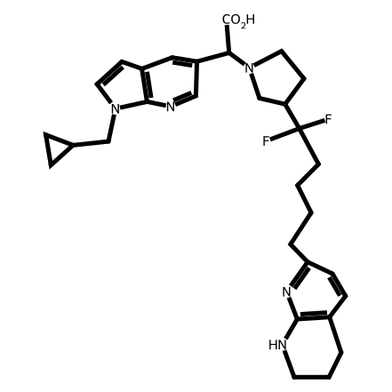 O=C(O)C(c1cnc2c(ccn2CC2CC2)c1)N1CCC(C(F)(F)CCCCc2ccc3c(n2)NCCC3)C1